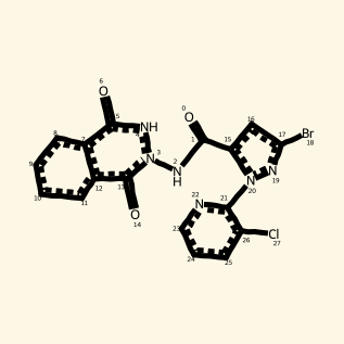 O=C(Nn1[nH]c(=O)c2ccccc2c1=O)c1cc(Br)nn1-c1ncccc1Cl